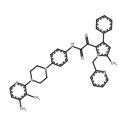 Cc1ccnc(N2CCN(c3ccc(NC(=O)C(=O)c4c(-c5ccccc5)cc(C)n4Cc4ccccn4)cc3)CC2)c1C